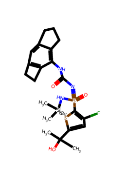 CC(C)(O)c1cc(F)c(S(=O)(=NC(=O)Nc2c3c(cc4c2CC4)CCC3)N[Si](C)(C)C(C)(C)C)s1